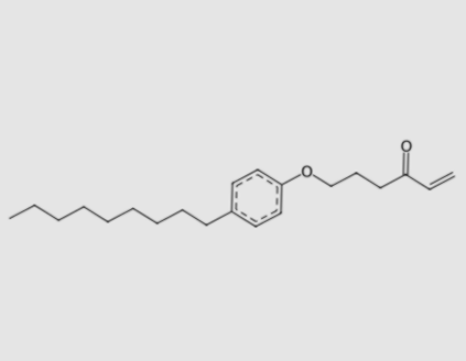 C=CC(=O)CCCOc1ccc(CCCCCCCCC)cc1